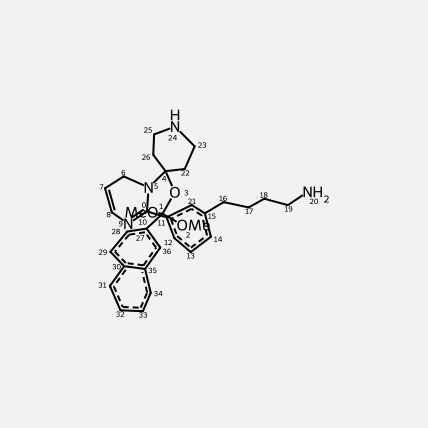 COC(OC)(OC1(N2CC=CN=C2c2cccc(CCCCN)c2)CCNCC1)c1ccc2ccccc2c1